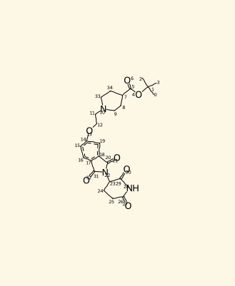 CC(C)(C)OC(=O)C1CCN(CCOc2ccc3c(c2)C(=O)N(C2CCC(=O)NC2=O)C3=O)CC1